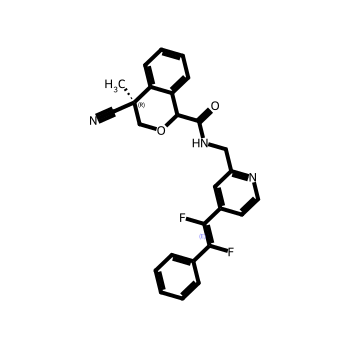 C[C@@]1(C#N)COC(C(=O)NCc2cc(/C(F)=C(\F)c3ccccc3)ccn2)c2ccccc21